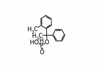 Cc1ccccc1C(C)(O[PH](=O)O)c1ccccc1